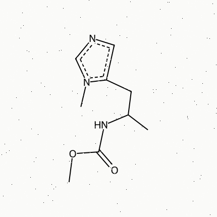 COC(=O)NC(C)Cc1cncn1C